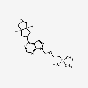 C[Si](C)(C)CCOCn1ccc2c(N3C[C@H]4COC[C@H]4C3)ncnc21